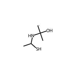 [CH2]C(C)(O)NC(C)S